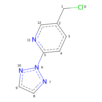 ClCc1ccc(-n2nccn2)nc1